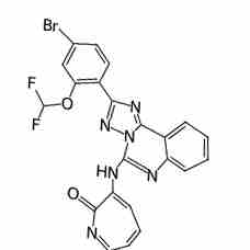 O=c1nccccc1Nc1nc2ccccc2c2nc(-c3ccc(Br)cc3OC(F)F)nn12